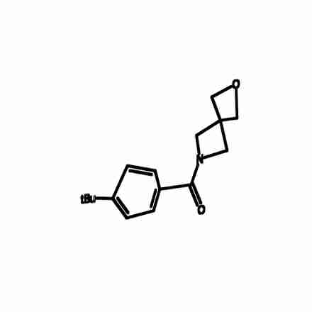 CC(C)(C)c1ccc(C(=O)N2CC3(COC3)C2)cc1